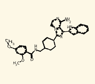 COc1ccc(C(=O)NCC2CCC(c3nc(-c4cc5ccccc5[nH]4)c4c(N)nccn34)CC2)c(OC)c1